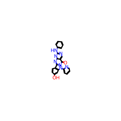 O=c1c2cnc(Nc3ccccc3)nc2nc2c3ccc(O)cc3n(-c3ccccn3)n12